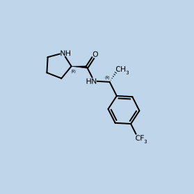 C[C@@H](NC(=O)[C@H]1CCCN1)c1ccc(C(F)(F)F)cc1